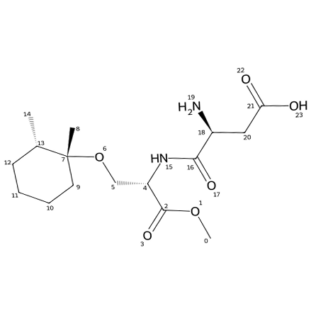 COC(=O)[C@H](CO[C@]1(C)CCCC[C@@H]1C)NC(=O)[C@@H](N)CC(=O)O